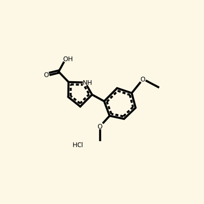 COc1ccc(OC)c(-c2ccc(C(=O)O)[nH]2)c1.Cl